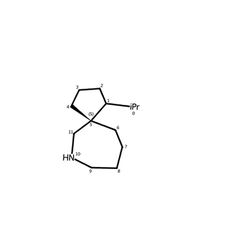 CC(C)C1CCC[C@]12CCCCNC2